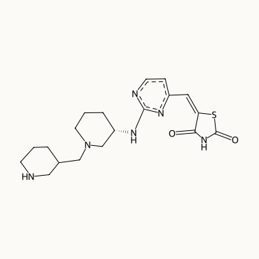 O=C1NC(=O)/C(=C\c2ccnc(N[C@H]3CCCN(CC4CCCNC4)C3)n2)S1